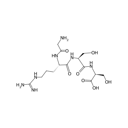 N=C(N)NCCC[C@H](NC(=O)CN)C(=O)N[C@@H](CO)C(=O)N[C@@H](CO)C(=O)O